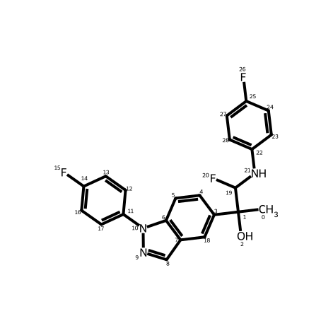 CC(O)(c1ccc2c(cnn2-c2ccc(F)cc2)c1)C(F)Nc1ccc(F)cc1